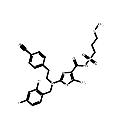 COCCCS(=O)(=O)NC(=O)c1nc(N(CCc2ccc(C#N)cc2)Cc2ccc(F)cc2Cl)oc1C